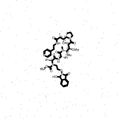 CC[C@H](C)[C@@H]([C@@H](CC(=O)N1CCC[C@H]1[C@H](OC)[C@@H](C)C(=O)NCCc1ccncc1)OC)N(C)C(=O)[C@@H](NC(=O)[C@H](C(C)C)N(CCON1C(=O)c2ccccc2C1O)C(=O)OC(C)(C)C)C(C)C